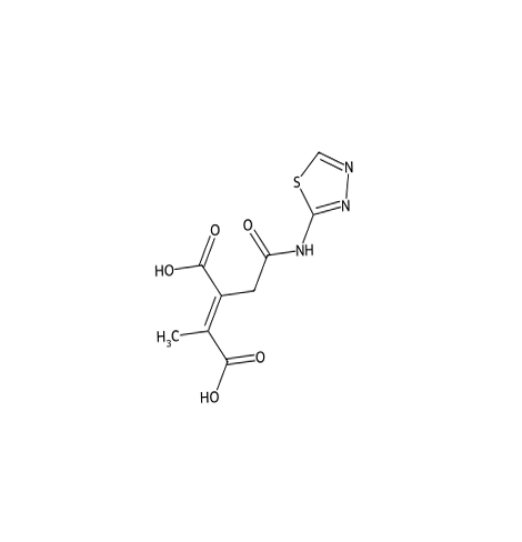 CC(C(=O)O)=C(CC(=O)Nc1nncs1)C(=O)O